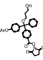 COc1ccc(C(OCCCO)(c2ccccc2)c2ccc(C(=O)ON3C(=O)CCC3=O)cc2)cc1